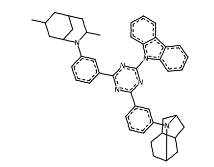 CC1CC2CC(C)N(c3cccc(-c4nc(-c5cccc(N6C7CCC8CC6CC8C7)c5)nc(-n5c6ccccc6c6ccccc65)n4)c3)C(C1)C2